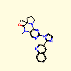 CCC12CCCN1c1nc(-n3ccnc3-c3cnc4ccccc4c3)ncc1N(C)C2=O